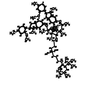 COc1cc(C)ccc1-c1cc2ccc(OC(C)(C)CC(C)(C)C(OCCCC(F)(F)CCCOC(=O)C(CC(C)(C)C)C(C)(C)C)C(C)(C)CC(C)(C)Oc3ccc4cc(-c5ccc(C)cc5OC)n(C)c4c3)cc2n1C